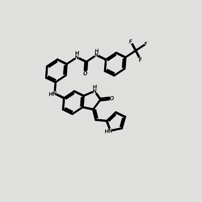 O=C(Nc1cccc(Nc2ccc3c(c2)NC(=O)C3=Cc2ccc[nH]2)c1)Nc1cccc(C(F)(F)F)c1